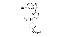 CCOC(=O)N1CCC(N(C)c2cccc(-c3cnn4ccc(C#N)cc34)n2)CC1